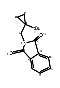 CC(C)(C)C1(CN2C(=O)c3ccccc3C2=O)CC1